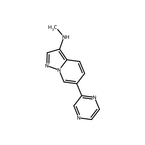 CNc1cnn2cc(-c3cnccn3)ccc12